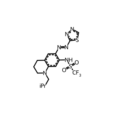 CC(C)CN1CCCc2cc(/N=N/c3nncs3)c(NS(=O)(=O)C(F)(F)F)cc21